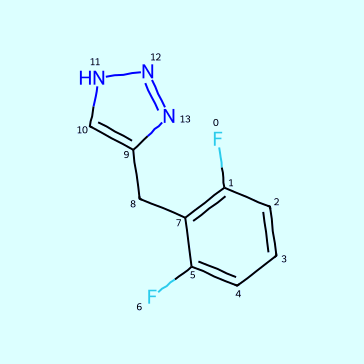 Fc1cccc(F)c1Cc1c[nH]nn1